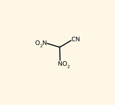 N#C[C]([N+](=O)[O-])[N+](=O)[O-]